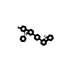 Ic1ccc2c3ccc(-c4ccc(-c5cccc6c5sc5ccccc56)cc4)cc3n(-c3ccccc3)c2c1